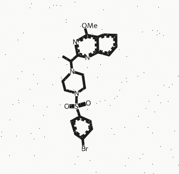 COc1nc(C(C)N2CCN(S(=O)(=O)c3ccc(Br)cc3)CC2)nc2ccccc12